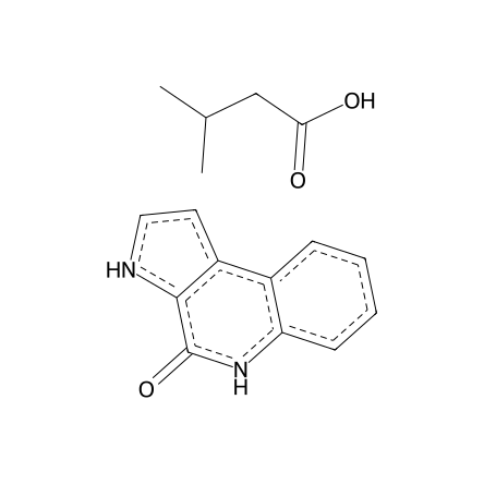 CC(C)CC(=O)O.O=c1[nH]c2ccccc2c2cc[nH]c12